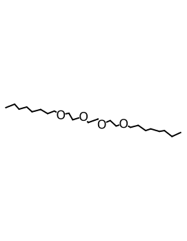 CCCCCCCCOCCOCCOCCOCCCCCCCC